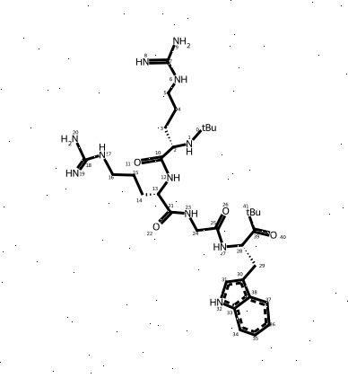 CC(C)(C)N[C@@H](CCCNC(=N)N)C(=O)N[C@@H](CCCNC(=N)N)C(=O)NCC(=O)N[C@@H](Cc1c[nH]c2ccccc12)C(=O)C(C)(C)C